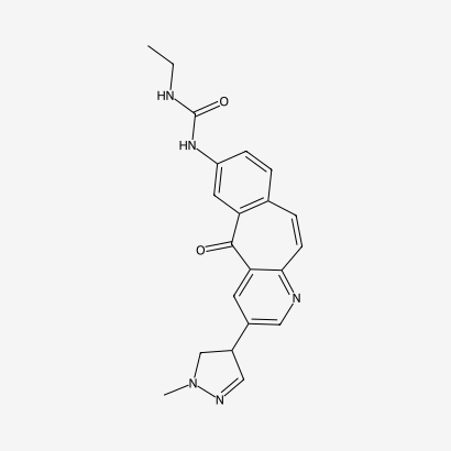 CCNC(=O)Nc1ccc2ccc3ncc(C4C=NN(C)C4)cc3c(=O)c2c1